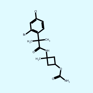 CC1(NC(=O)C(C)(C)c2ccc(Cl)cc2Br)CC(OC(N)=O)C1